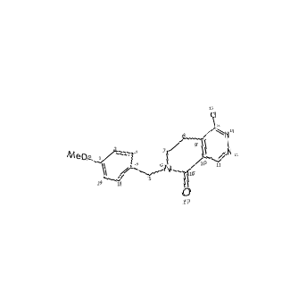 COc1ccc(CN2CCc3c(cnnc3Cl)C2=O)cc1